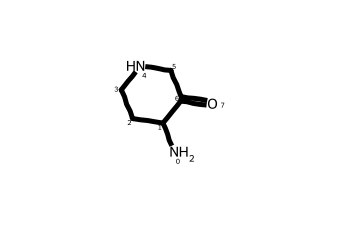 NC1CCNCC1=O